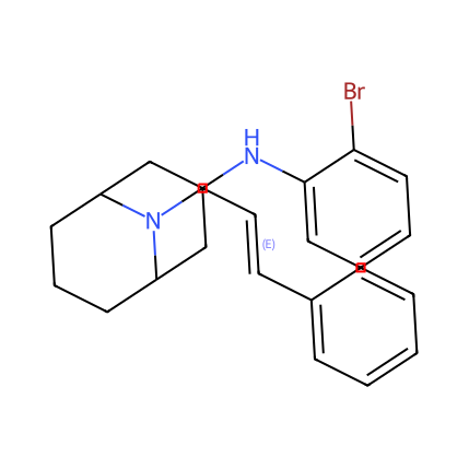 Brc1ccccc1NC1CC2CCCC(C1)N2C/C=C/c1ccccc1